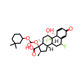 C[C@@H]1C[C@H]2[C@@H]3C[C@H](F)C4=CC(=O)C=C[C@]4(C)[C@@]3(F)[C@@H](O)C[C@]2(C)[C@@]1(OC(=O)OC1CCCC(C)(C)C1)C(=O)O